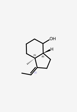 C/C=C1/CC[C@H]2C(O)CCC[C@]12C